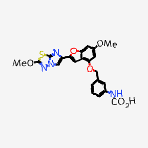 COc1cc(OCc2cccc(NC(=O)O)c2)c2cc(-c3cn4nc(OC)sc4n3)oc2c1